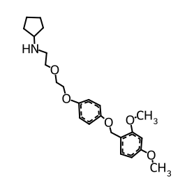 COc1ccc(COc2ccc(OCCOCCNC3CCCC3)cc2)c(OC)c1